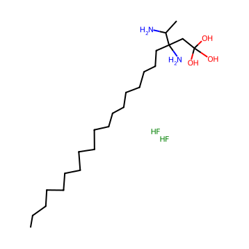 CCCCCCCCCCCCCCCCCCC(N)(CC(O)(O)O)C(C)N.F.F